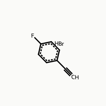 Br.C#Cc1ccc(F)cc1